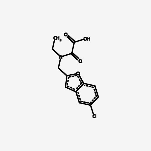 CCN(Cc1cc2cc(Cl)ccc2o1)C(=O)C(=O)O